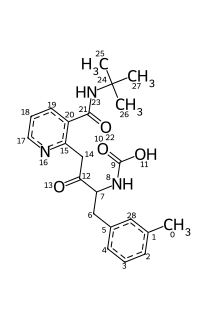 Cc1cccc(CC(NC(=O)O)C(=O)Cc2ncccc2C(=O)NC(C)(C)C)c1